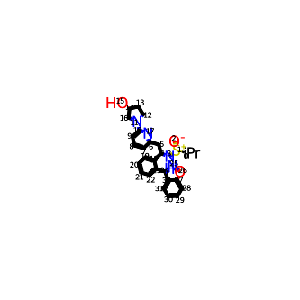 CC(C)[S@+]([O-])NC(Cc1cccc(N2CC[C@H](O)C2)n1)c1ccccc1-c1noc2ccccc12